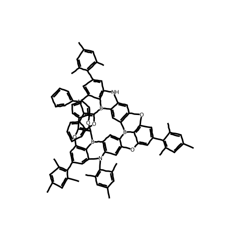 Cc1cc(C)c(-c2cc3c4c(c2)Oc2cc5c(cc2B4c2cc4c(cc2O3)Nc2cc(-c3c(C)cc(C)cc3C)cc3c2B4c2oc4ccccc4c2N3c2ccccc2)B2c3oc4ccccc4c3Oc3cc(-c4c(C)cc(C)cc4C)cc(c32)N5c2c(C)cc(C)cc2C)c(C)c1